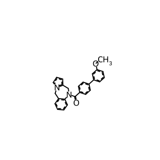 COc1cccc(-c2ccc(C(=O)N3Cc4cccn4Cc4ccccc43)cc2)c1